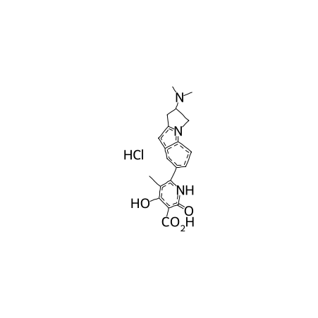 Cc1c(-c2ccc3c(c2)cc2n3CC(N(C)C)C2)[nH]c(=O)c(C(=O)O)c1O.Cl